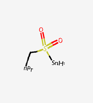 CCCC[S](=O)(=O)[SnH]